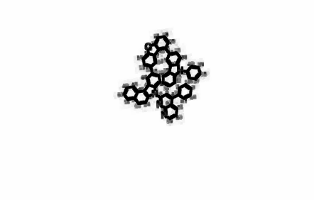 c1ccc(-c2cc(-n3c4ccc(-c5ccc6oc7cccc(-c8ccc9c(c8)c8ccccc8n9-c8ccccc8)c7c6c5)cc4c4c5ccccc5ccc43)nc3ncccc23)cc1